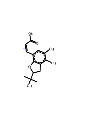 CC(C)(O)C1Cc2c(O)c(O)cc(/C=C\C(=O)O)c2O1